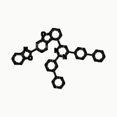 c1ccc(-c2ccc(-c3cc(-c4cccc5oc6cc(-c7nc8ccccc8o7)ccc6c45)nc(-c4cccc(-c5ccccc5)c4)n3)cc2)cc1